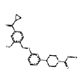 COc1cc(C(=O)C2CC2)ccc1COc1cccc(C2CCN(C(=O)OC(C)(C)C)CC2)n1